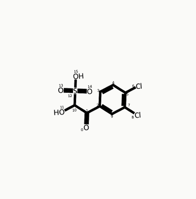 O=C(c1ccc(Cl)c(Cl)c1)C(O)S(=O)(=O)O